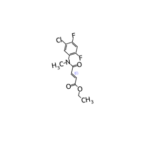 CCOC(=O)/C=C/C(=O)N(C)c1cc(Cl)c(F)cc1F